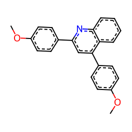 COc1ccc(-c2cc(-c3ccc(OC)cc3)c3ccccc3n2)cc1